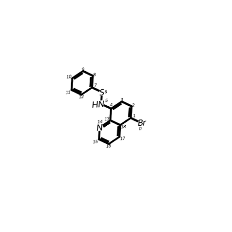 Brc1ccc(NSc2ccccc2)c2ncccc12